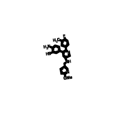 COc1ccc(CNc2cnc(-c3ccc(F)c(C)c3)c(-c3ccc(N)c(S)c3)c2)cn1